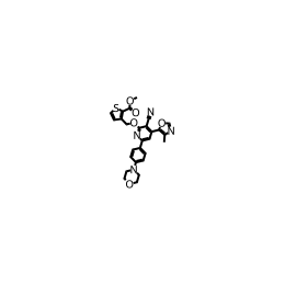 COC(=O)c1sccc1COc1nc(-c2ccc(N3CCOCC3)cc2)cc(-c2ocnc2C)c1C#N